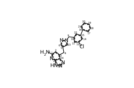 Nc1cc(Cc2cnn(Cc3cc(Cl)cc(-c4ccccc4)c3)c2)c2nn[nH]c2n1